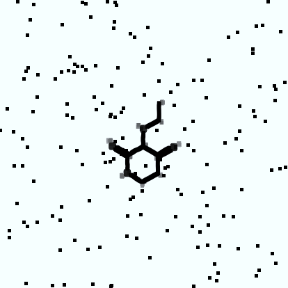 CCOC1C(=O)C[CH]OC1=O